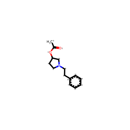 CC(=O)OC1CCN(CCc2ccccc2)C1